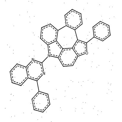 c1ccc(-c2oc3ccc4c5c3c2-c2ccccc2-c2cccc(c25)n4-c2nc(-c3ccccc3)c3ccccc3n2)cc1